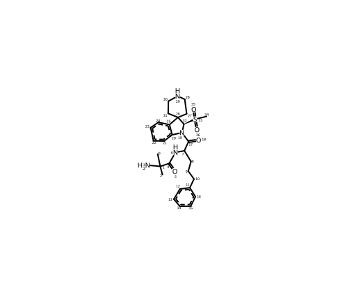 CC(C)(N)C(=O)NC(CCCc1ccccc1)C(=O)N1c2ccccc2C2(CCNCC2)[C@H]1S(C)(=O)=O